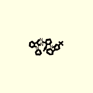 CC#Cc1c(-c2ncc3c4ccccc4n(-c4ccccc4)c3n2)cccc1-n1c2ccccc2c2ccc(C(C)(C)C)cc21